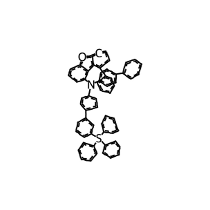 c1ccc(-c2ccc(N(c3ccc(-c4cccc(S(c5ccccc5)(c5ccccc5)c5ccccc5)c4)cc3)c3cccc4oc5cccc(-c6ccccc6)c5c34)cc2)cc1